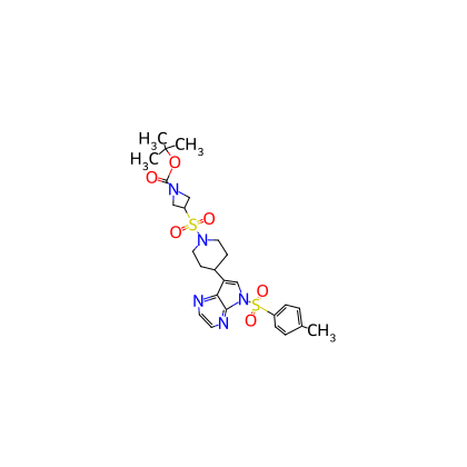 Cc1ccc(S(=O)(=O)n2cc(C3CCN(S(=O)(=O)C4CN(C(=O)OC(C)(C)C)C4)CC3)c3nccnc32)cc1